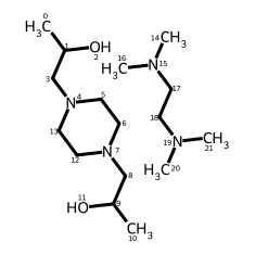 CC(O)CN1CCN(CC(C)O)CC1.CN(C)CCN(C)C